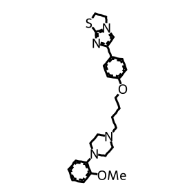 COc1ccccc1N1CCN(CCCCOc2ccc(-c3cn4c(n3)SCC4)cc2)CC1